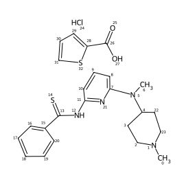 CN1CCC(N(C)c2cccc(NC(=S)c3ccccc3)n2)CC1.Cl.O=C(O)c1cccs1